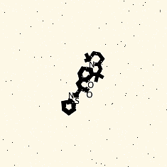 CC1(C)CC2CCCC(C)(C)N2c2ccc3cc(-c4nc5ccccc5s4)c(=O)oc3c21